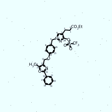 CCOC(=O)CCc1cn(Cc2ccc(OCc3nc(-c4ccccc4)oc3C)cc2)nc1OS(=O)(=O)C(F)(F)F